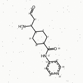 NC(CC=O)C1CCC(C(=O)Nc2ccncc2)CC1